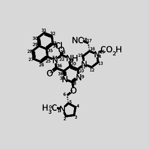 CN1CCC[C@H]1COc1nc(N2CCN(C(=O)O)[C@@H](CC#N)C2)c2[nH]c(=O)n(-c3cccc4cccc(Cl)c34)c(=O)c2n1